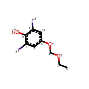 CCOCOc1cc(I)c(O)c(I)c1